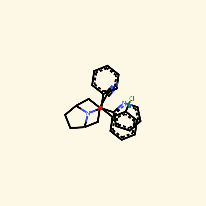 N#CC1(c2ccccn2)CC2CCC(C1)N2C(c1ccccc1)c1ccccc1Cl